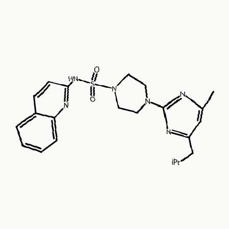 Cc1cc(CC(C)C)nc(N2CCN(S(=O)(=O)Nc3ccc4ccccc4n3)CC2)n1